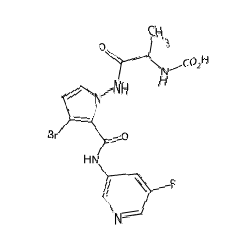 CC(NC(=O)O)C(=O)Nn1ccc(Br)c1C(=O)Nc1cncc(F)c1